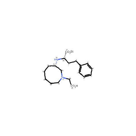 CCOC(=O)[C@H](CCc1ccccc1)N[C@H]1CCCCCN(CC(=O)O)C1